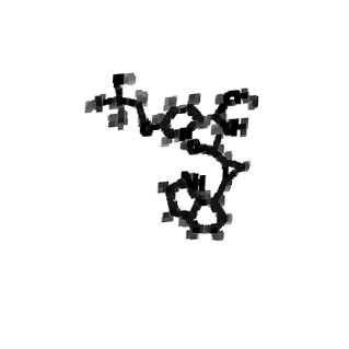 C[C@@H](NC(=O)C1CC1c1cccc2cc[nH]c12)c1ccc(OCC(F)(F)F)cn1